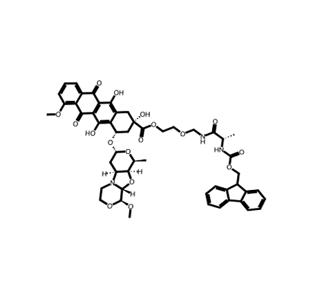 COc1cccc2c1C(=O)c1c(O)c3c(c(O)c1C2=O)C[C@@](O)(C(=O)OCCOCNC(=O)[C@H](C)NC(=O)OCC1c2ccccc2-c2ccccc21)C[C@@H]3O[C@H]1C[C@H]2[C@H](O[C@@H]3[C@@H](OC)OCCN32)[C@H](C)O1